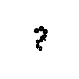 CC1(C)c2cc(-c3cccc(-c4cccc(-c5ccccc5)c4)c3)ccc2C(=O)c2ccc(-c3cccc(-c4cccc(-c5ccccc5)c4)c3)cc21